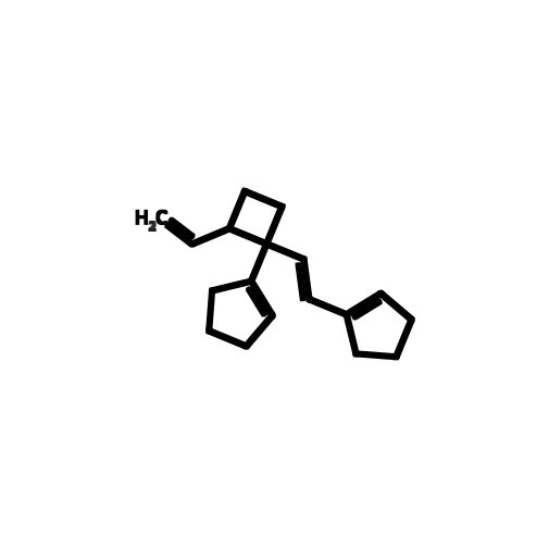 C=CC1CCC1(C=CC1=CCCC1)C1=CCCC1